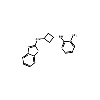 Nc1cccnc1N[C@H]1C[C@H](Nc2nc3ccccc3s2)C1